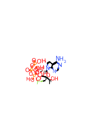 C[C@H](O)[C@@](CF)(COP(=O)(O)OP(=O)(O)OP(=O)(O)O)O[C@H](CO)n1ccc2c(N)ncnc21